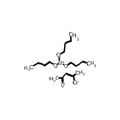 CC(=O)/C=C(/C)[O-].CCCC[O][Zr+]([O]CCCC)[O]CCCC